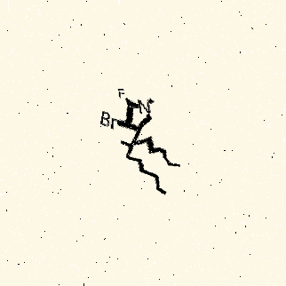 CCCCCCC(C)(CCCCC)c1cn(C)c(F)c1Br